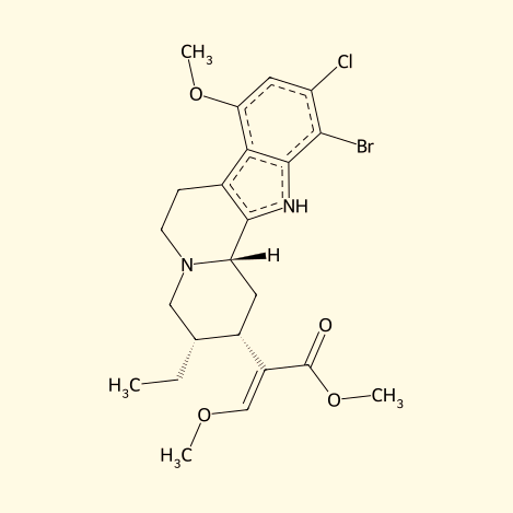 CC[C@@H]1CN2CCc3c([nH]c4c(Br)c(Cl)cc(OC)c34)[C@@H]2C[C@@H]1/C(=C\OC)C(=O)OC